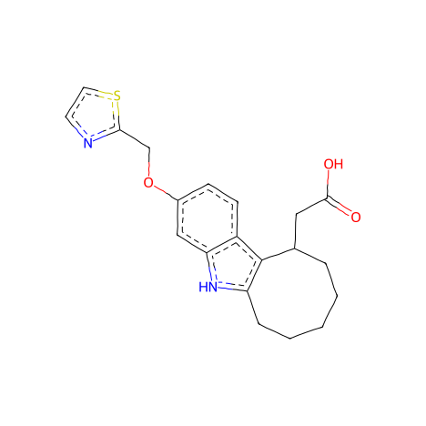 O=C(O)CC1CCCCCc2[nH]c3cc(OCc4nccs4)ccc3c21